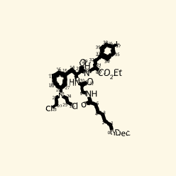 CCCCCCCCCCCCCCCC(=O)NCC(=O)NC(Cc1cccc(N(CCCl)CCCl)c1)C(=O)NC(Cc1ccc(F)cc1)C(=O)OCC